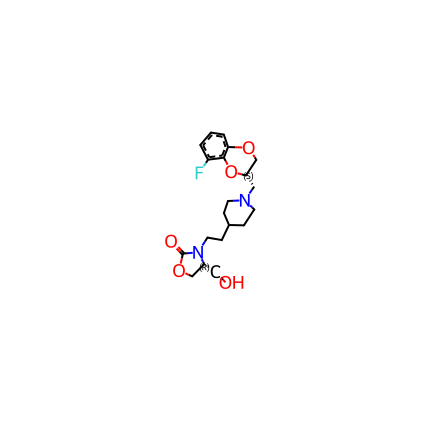 O=C1OC[C@@H](CO)N1CCC1CCN(C[C@H]2COc3cccc(F)c3O2)CC1